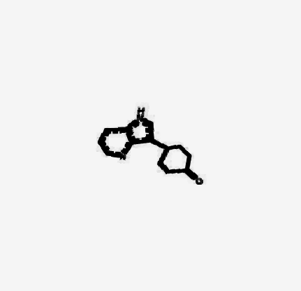 O=C1CCC(c2c[nH]c3cccnc23)CC1